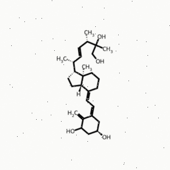 C=C1/C(=C\C=C2/CCC[C@]3(C)[C@@H]([C@H](C)/C=C/[C@H](C)C(C)(O)CO)CC[C@@H]23)C[C@@H](O)CC1O